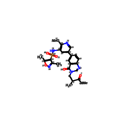 CNC(=O)[C@@H](C)Cn1cnc2ccc(-c3cnc(OC)c(NS(=O)(=O)c4c(C)noc4C)c3)cc2c1=O